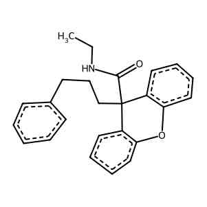 CCNC(=O)C1(CCCc2ccccc2)c2ccccc2Oc2ccccc21